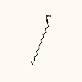 CCOCCCCCCCCCCCCCC#CC(C)(C)C